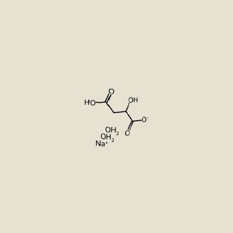 O.O.O=C(O)CC(O)C(=O)[O-].[Na+]